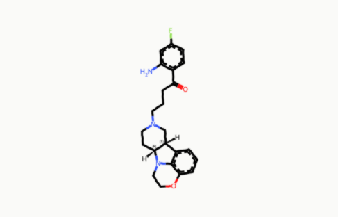 Nc1cc(F)ccc1C(=O)CCCN1CC[C@@H]2[C@H](C1)c1cccc3c1N2CCO3